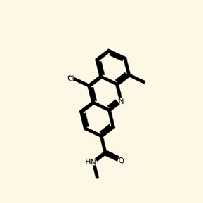 CNC(=O)c1ccc2c(Cl)c3cccc(C)c3nc2c1